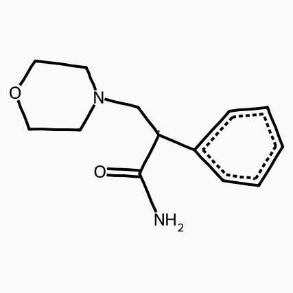 NC(=O)[C](CN1CCOCC1)c1ccccc1